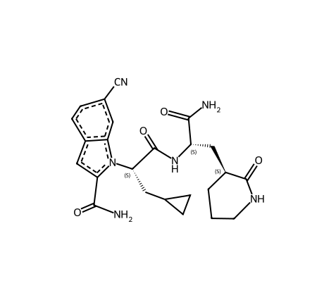 N#Cc1ccc2cc(C(N)=O)n([C@@H](CC3CC3)C(=O)N[C@@H](C[C@@H]3CCCNC3=O)C(N)=O)c2c1